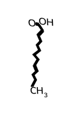 CCCCC=CCCCCCC=CC(=O)O